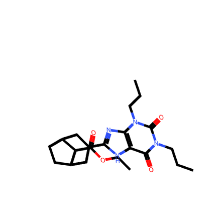 CCCn1c(=O)c2[nH]c(C3CC4CCC(C3)C4C(=O)OCC)nc2n(CCC)c1=O